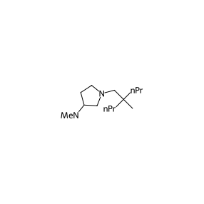 CCCC(C)(CCC)CN1CCC(NC)C1